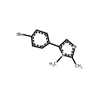 Cc1ncc(-c2ccc(C(C)(C)C)cc2)n1C